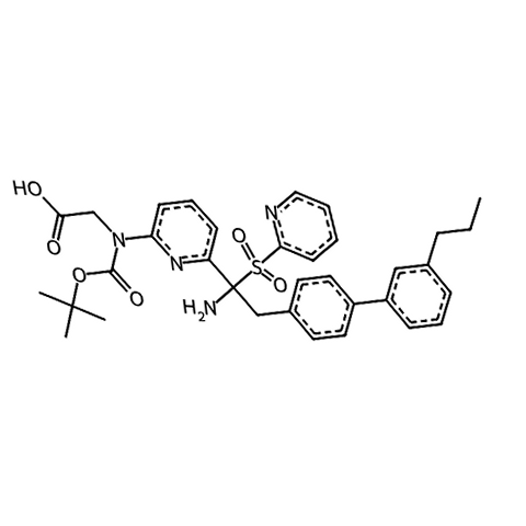 CCCc1cccc(-c2ccc(CC(N)(c3cccc(N(CC(=O)O)C(=O)OC(C)(C)C)n3)S(=O)(=O)c3ccccn3)cc2)c1